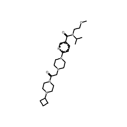 COCCN(C(=O)c1ccc(N2CCN(CC(=O)N3CCN(C4CCC4)CC3)CC2)nc1)C(C)C